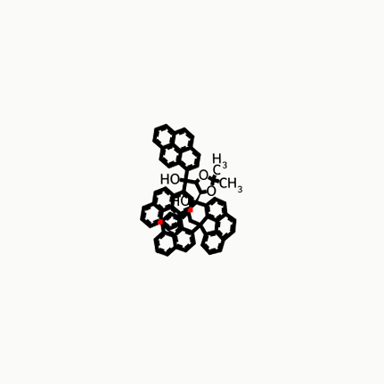 CC1(C)OC(C(O)(c2ccc3ccc4cccc5ccc2c3c45)c2ccc3ccc4cccc5ccc2c3c45)[C@H](C2(O)C3=c4ccc5cccc6ccc(c4c65)C4(C3)c3cccc5ccc6ccc2c4c6c35)O1